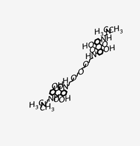 CN(C)CCNc1ccc(O)c2c1C(=O)c1c(O)ccc(NCCCOCCOCCOCCCNc3ccc(O)c4c3C(=O)c3c(O)ccc(NCCN(C)C)c3C4=O)c1C2=O